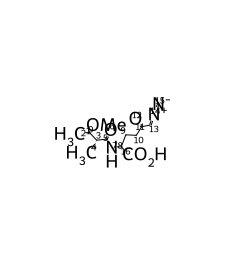 CO[C@H](C)[C@@H](C)C(=O)NC(CCC(=O)C=[N+]=[N-])C(=O)O